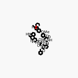 CCC1(c2ccccc2)C(=O)NC(=O)NC1=O.CN1C[C@H](C(=O)N[C@]2(C)O[C@@]3(O)[C@@H]4CCCN4C(=O)[C@H](Cc4ccccc4)N3C2=O)C=C2c3cccc4[nH]cc(c34)C[C@H]21.COc1ccc2c(c1)[C@]13CCCC[C@@H]1[C@H](C2)N(C)CC3